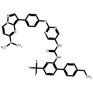 CCc1ccc(-c2ccc(C(F)(F)F)cc2NC(=O)Nc2cnc(Oc3ccc(-c4cnn5ccc(N(C)C)nc45)cc3)nc2)cc1